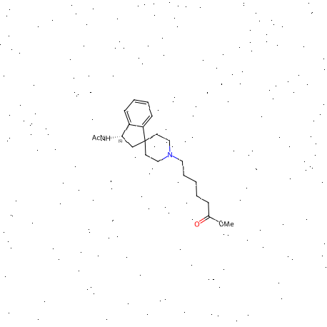 COC(=O)CCCCCN1CCC2(CC1)C[C@H](NC(C)=O)c1ccccc12